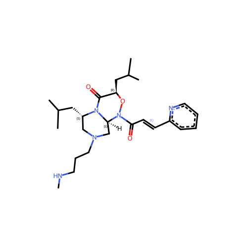 CNCCCN1C[C@H](CC(C)C)N2C(=O)[C@@H](CC(C)C)ON(C(=O)/C=C/c3ccccn3)[C@H]2C1